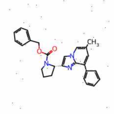 Cc1cc(-c2ccccc2)c2nc([C@@H]3CCCN3C(=O)OCc3ccccc3)cn2c1